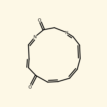 O=C1C=CC=CC=CC=NCC(=O)N=CC=C1